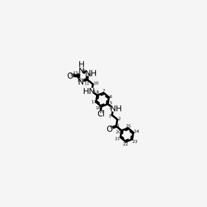 O=C(CCNc1ccc(NCc2nc(=O)[nH][nH]2)cc1Cl)c1ccccc1